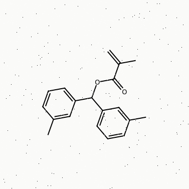 C=C(C)C(=O)OC(c1cccc(C)c1)c1cccc(C)c1